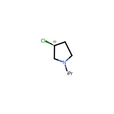 CC(C)N1CC[C@H](Cl)C1